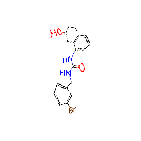 O=C(NCc1cccc(Br)c1)Nc1cccc2c1CC(O)CC2